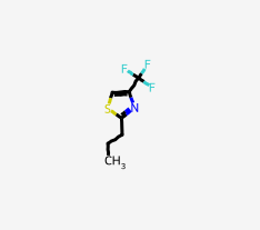 CCCc1nc(C(F)(F)F)cs1